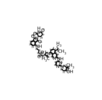 CC(C)c1ccc(N2C[C@H](CS(=O)(=O)CCCNc3cccc4c3C(=O)N(C3CCC(=O)NC3=O)C4=O)[C@H]2C)c2cnc(Nc3ccnc(N4CC[C@@H](O)[C@@](C)(F)C4)n3)cc12